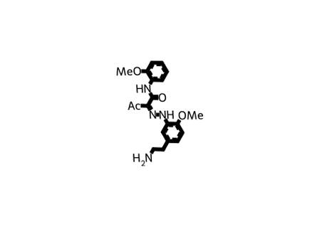 COc1ccc(CCN)cc1NN=C(C(C)=O)C(=O)Nc1ccccc1OC